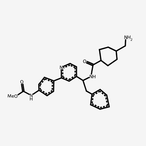 COC(=O)Nc1ccc(-c2cc(C(Cc3ccccc3)NC(=O)C3CCC(CN)CC3)ccn2)cc1